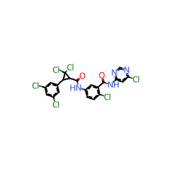 O=C(Nc1cc(Cl)ncn1)c1cc(NC(=O)C2C(c3cc(Cl)cc(Cl)c3)C2(Cl)Cl)ccc1Cl